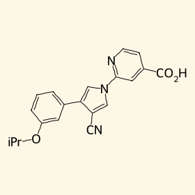 CC(C)Oc1cccc(-c2cn(-c3cc(C(=O)O)ccn3)cc2C#N)c1